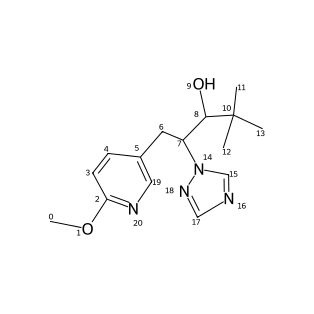 COc1ccc(CC(C(O)C(C)(C)C)n2cncn2)cn1